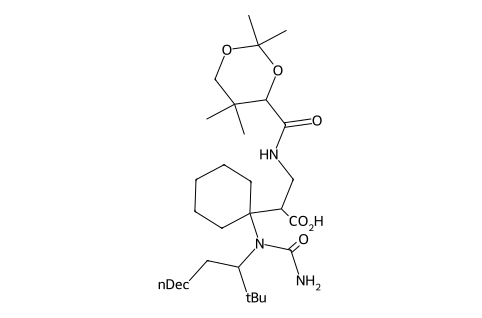 CCCCCCCCCCCC(N(C(N)=O)C1(C(CNC(=O)C2OC(C)(C)OCC2(C)C)C(=O)O)CCCCC1)C(C)(C)C